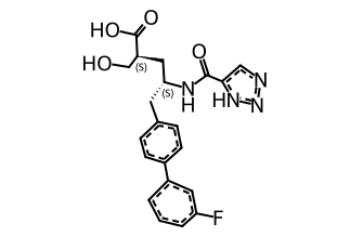 O=C(N[C@H](Cc1ccc(-c2cccc(F)c2)cc1)C[C@@H](CO)C(=O)O)c1cnn[nH]1